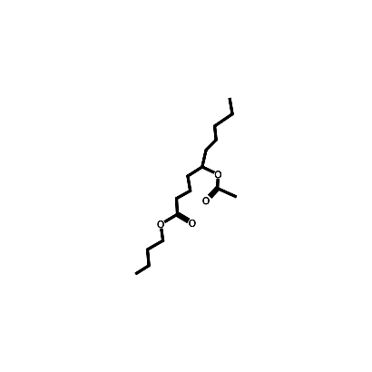 CCCCCC(CCCC(=O)OCCCC)OC(C)=O